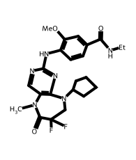 CCNC(=O)c1ccc(Nc2ncc3c(n2)N(C2CCCC2)CC(F)(F)C(=O)N3C)c(OC)c1